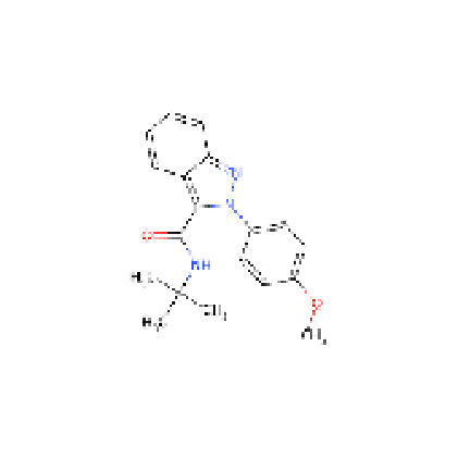 COc1ccc(-n2nc3ccccc3c2C(=O)NC(C)(C)C)cc1